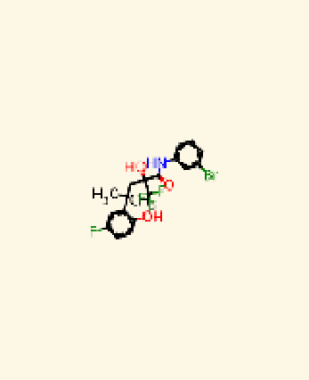 CC(C)(CC(O)(C(=O)Nc1cccc(Br)c1)C(F)(F)F)c1cc(F)ccc1O